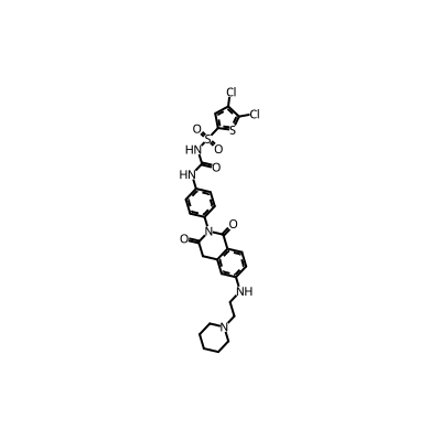 O=C(Nc1ccc(N2C(=O)Cc3cc(NCCN4CCCCC4)ccc3C2=O)cc1)NS(=O)(=O)c1cc(Cl)c(Cl)s1